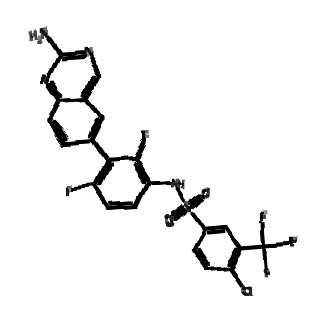 Nc1ncc2cc(-c3c(F)ccc(NS(=O)(=O)c4ccc(Cl)c(C(F)(F)F)c4)c3F)ccc2n1